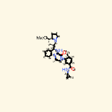 COC[C@H]1CCCN1C[C@H](C)[C@@H](Nc1nccn(-c2cc(C(=O)NC3CC3)ccc2C)c1=O)c1ccccc1